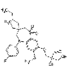 CCCC[C@@]1(CC)CN(c2ccc(F)cc2)c2cc(SC)c(OCC(O)(C=O)CO)cc2S(=O)(=O)C1